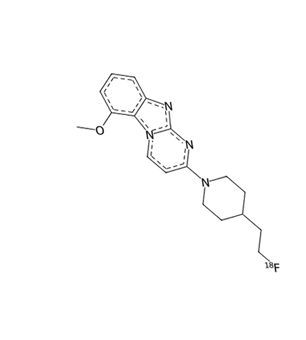 COc1cccc2nc3nc(N4CCC(CC[18F])CC4)ccn3c12